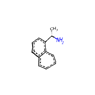 C[C@H](N)c1cccc2ccccc12